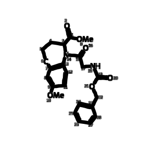 COC(=O)C1CCCc2cc(OC)ccc2N1C(=O)CNC(=O)OCc1ccccc1